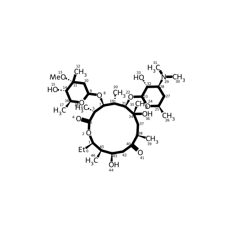 CC[C@H]1OC(=O)[C@H](C)[C@@H](OC2C[C@@](C)(OC)[C@@H](O)[C@H](C)O2)[C@H](C)[C@@H](OC2O[C@H](C)C[C@H](N(C)C)[C@H]2O)[C@](C)(O)C[C@@H](C)C(=O)C[C@@H](O)[C@H]1C